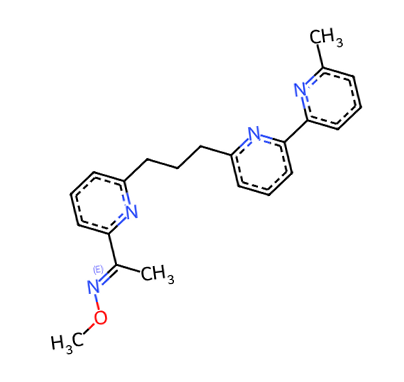 CO/N=C(\C)c1cccc(CCCc2cccc(-c3cccc(C)n3)n2)n1